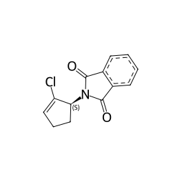 O=C1c2ccccc2C(=O)N1[C@H]1CCC=C1Cl